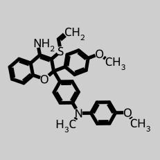 C=CSC1=C(N)c2ccccc2OC1(c1ccc(OC)cc1)c1ccc(N(C)c2ccc(OC)cc2)cc1